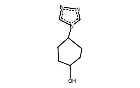 OC1CCC(n2cnnc2)CC1